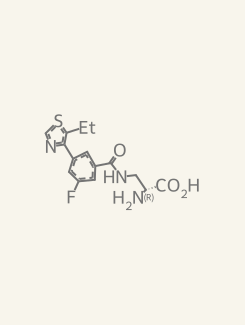 CCc1scnc1-c1cc(F)cc(C(=O)NC[C@@H](N)C(=O)O)c1